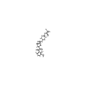 COc1ccc(C)c(NC(=O)c2cnc(NCC3CCN(CC(=O)N(C)C)CC3)s2)c1C